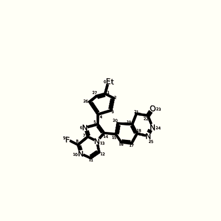 CCc1ccc(-c2nc3c(F)nccn3c2-c2ccc3c(c2)CC(=O)N=N3)cc1